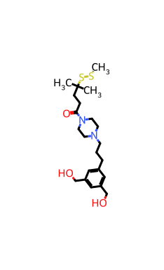 CSSC(C)(C)CCC(=O)N1CCN(CCCc2cc(CO)cc(CO)c2)CC1